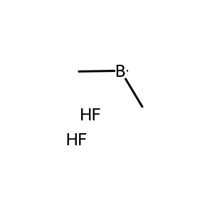 C[B]C.F.F